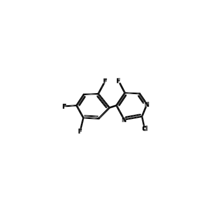 Fc1cc(F)c(-c2nc(Cl)ncc2F)cc1F